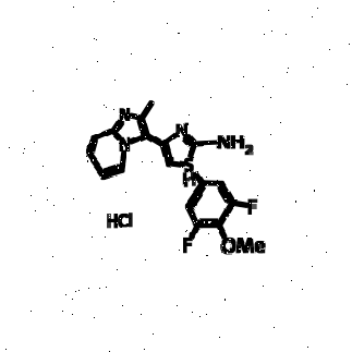 COc1c(F)cc([SH]2C=C(c3c(C)nc4ccccn34)N=C2N)cc1F.Cl